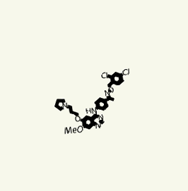 COc1cc2ncnc(Nc3ccc(C(C)=NOCc4ccc(Cl)cc4Cl)cc3)c2cc1OCCCN1CCCC1